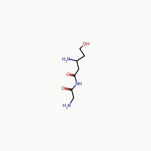 NCC(=O)NC(=O)CC(N)CCO